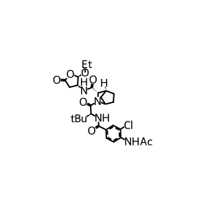 CCO[C@@H]1OC(=O)C[C@@H]1NC(=O)[C@@H]1[C@H]2CCC(C2)N1C(=O)[C@@H](NC(=O)c1ccc(NC(C)=O)c(Cl)c1)C(C)(C)C